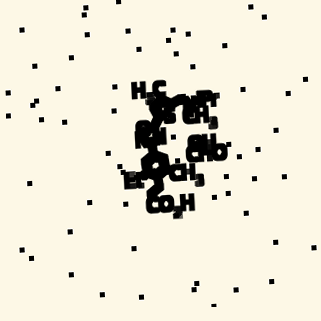 CCc1cc(-c2noc(-c3cc(C)c(CN(C)C(C)C)s3)n2)cc(C)c1CCC(=O)O.O=CO